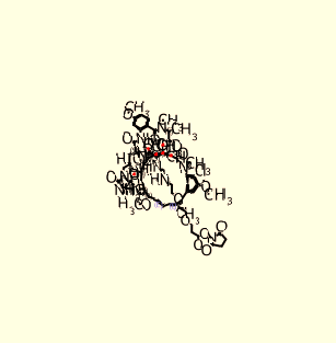 COc1ccc(C(=O)N(C)[C@@H](C)C(=O)O[C@H]2CC(=O)N(C)c3cc(cc(OC)c3Cl)C/C(C)=C/C=C/[C@@H](OC)[C@@]3(O)C[C@H](OC(=O)N3)[C@@H](C)[C@@H]3O[C@@]23C)c(NC(=O)[C@H](CCCNC(N)=O)NC(=O)[C@@H](NCNCCOCCOCCC(=O)ON2C(=O)CCC2=O)C(C)C)c1